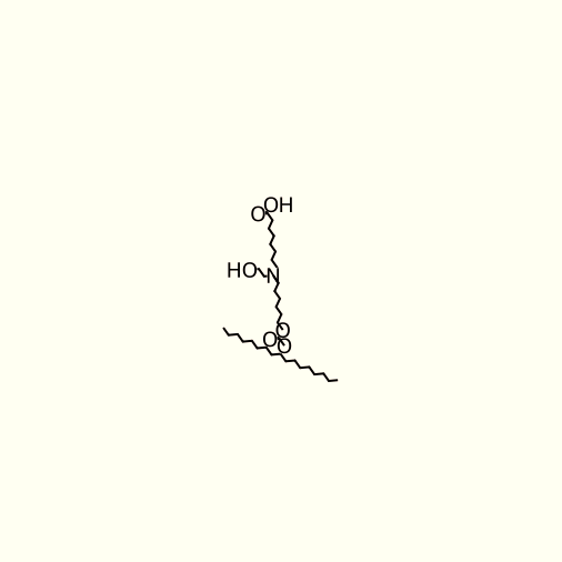 CCCCCCCCC(CCCCCCCC)OC(=O)OCCCCCCN(CCO)CCCCCCCC(=O)O